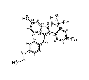 CCOc1ccc(Oc2c(-c3ccc(F)cc3C(C)(F)F)sc3cc(O)ccc23)cc1